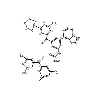 COC(=O)Nc1cc(C(=O)c2cc(C)nc(N3CCOCC3)c2)cc(-c2cccc3[nH]ccc23)c1.Cc1cc(C(=O)c2cc(Br)cc(Br)c2)cc(Cl)n1